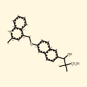 CCOC(=O)C(C)(C)C(O)c1ccc2cc(OCc3cc(C)nc4ccccc34)ccc2c1